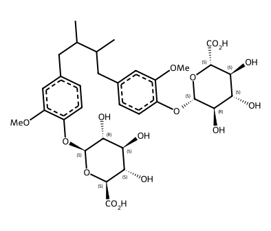 COc1cc(CC(C)C(C)Cc2ccc(O[C@@H]3O[C@H](C(=O)O)[C@@H](O)[C@H](O)[C@H]3O)c(OC)c2)ccc1O[C@@H]1O[C@H](C(=O)O)[C@@H](O)[C@H](O)[C@H]1O